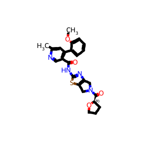 COc1ccccc1-c1cc(C)ncc1C(=O)Nc1nc2c(s1)CN(C(=O)[C@H]1CCCO1)C2